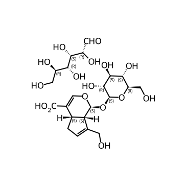 O=C(O)C1=CO[C@@H](O[C@@H]2O[C@H](CO)[C@@H](O)[C@H](O)[C@H]2O)[C@@H]2C(CO)=CC[C@H]12.O=C[C@H](O)[C@@H](O)[C@H](O)[C@H](O)CO